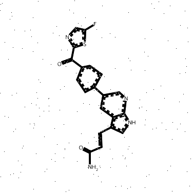 NC(=O)C=Cc1c[nH]c2ncc(-c3ccc(C(=O)c4ncc(F)s4)cc3)cc12